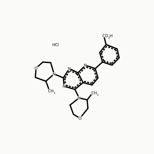 CC1COCCN1c1nc(N2CCOCC2C)c2ccc(-c3cccc(C(=O)O)c3)nc2n1.Cl